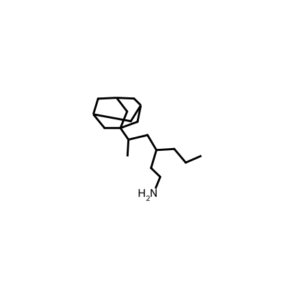 CCCC(CCN)CC(C)C12CC3CC(CC(C3)C1)C2